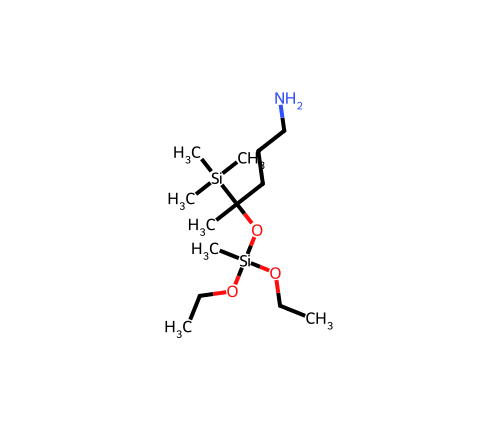 CCO[Si](C)(OCC)OC(C)(CCCN)[Si](C)(C)C